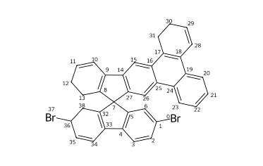 Brc1ccc2c(c1)C1(C3=C(C=CCC3)c3cc4c5c(c6ccccc6c4cc31)C=CCC5)C1=C2C=CC(Br)C1